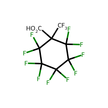 O=C(O)C1(C(F)(F)F)C(F)(F)C(F)(F)C(F)(F)C(F)(F)C1(F)F